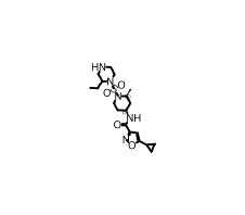 CCC1CNCCN1S(=O)(=O)N1CC[C@H](NC(=O)c2cc(C3CC3)on2)C[C@@H]1C